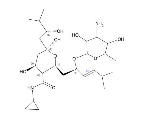 CC(C)/C=C/[C@@H](C[C@@H]1O[C@](O)(C[C@@H](O)C(C)C)C[C@H](O)[C@H]1C(=O)NC1CC1)OC1OC(C)C(O)C(N)C1O